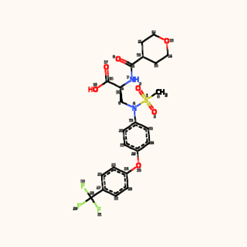 CS(=O)(=O)N(C[C@H](NC(=O)C1CCOCC1)C(=O)O)c1ccc(Oc2ccc(C(F)(F)F)cc2)cc1